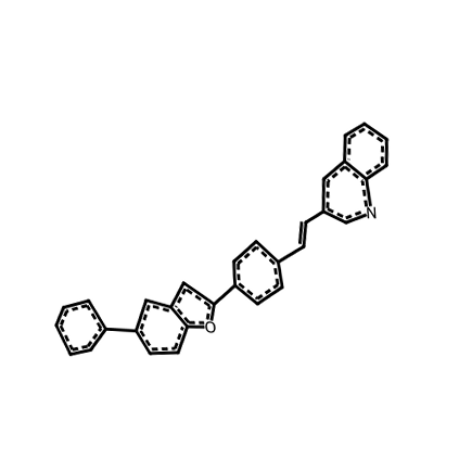 C(=C\c1cnc2ccccc2c1)/c1ccc(-c2cc3cc(-c4ccccc4)ccc3o2)cc1